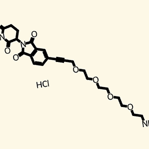 Cl.NCCOCCOCCOCCOCC#Cc1ccc2c(c1)C(=O)N(C1CCC(=O)NC1=O)C2=O